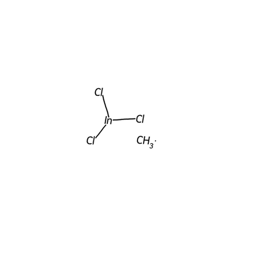 [CH3].[Cl][In]([Cl])[Cl]